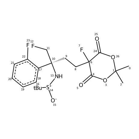 CC1(C)OC(=O)C(F)(CC[C@](CF)(N[S+]([O-])C(C)(C)C)c2ccccc2F)C(=O)O1